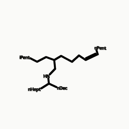 CCCCC/C=C\CCCC(CCC(C)CCC)CNC(CCCCCCC)CCCCCCCCCC